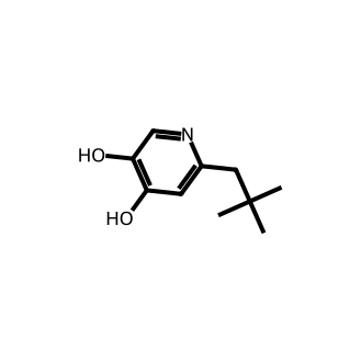 CC(C)(C)Cc1cc(O)c(O)cn1